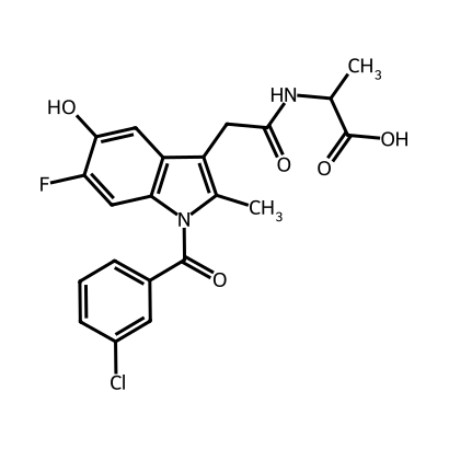 Cc1c(CC(=O)NC(C)C(=O)O)c2cc(O)c(F)cc2n1C(=O)c1cccc(Cl)c1